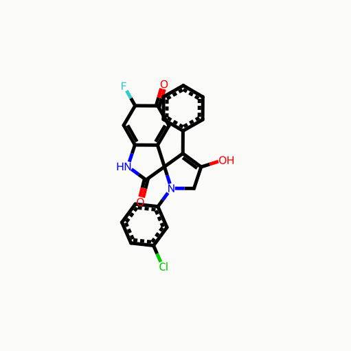 O=C1C=C2C(=CC1F)NC(=O)C21C(c2ccccc2)=C(O)CN1c1cccc(Cl)c1